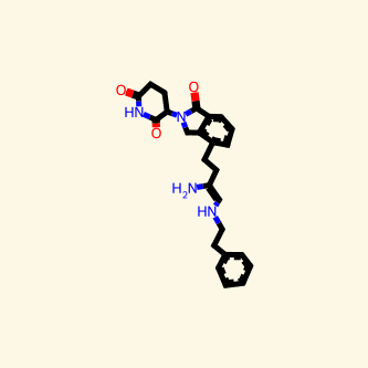 N/C(=C\NCCc1ccccc1)CCc1cccc2c1CN(C1CCC(=O)NC1=O)C2=O